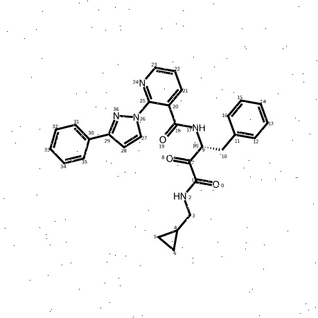 O=C(NCC1CC1)C(=O)[C@@H](Cc1ccccc1)NC(=O)c1cccnc1-n1ccc(-c2ccccc2)n1